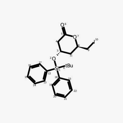 CC(C)(C)[Si](O[C@@H]1CC(=O)O[C@@H](CI)C1)(c1ccccc1)c1ccccc1